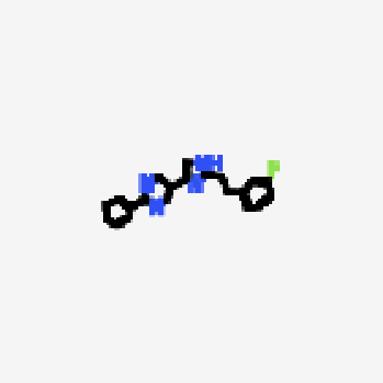 Fc1cccc(CCc2nc(-c3cnc(-c4ccccc4)nc3)c[nH]2)c1